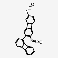 O=C=Nc1ccc2c(c1)-c1cc(-c3cccc4c3-c3ccccc3-4)c(N=C=O)cc1-2